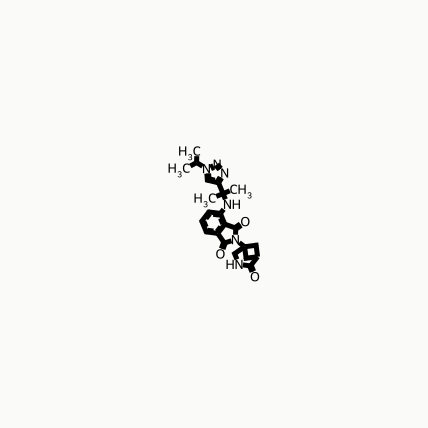 CC(C)n1cc(C(C)(C)Nc2cccc3c2C(=O)N(C24CNC(=O)C(C2)C4)C3=O)nn1